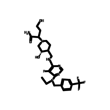 CCN(Cc1ccc(C(F)(F)F)cc1)c1ncnc(NCC2CCN(C(CCO)C(N)=O)C[C@H]2O)c1F